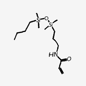 C=CC(=O)NCCC[Si](C)(C)O[Si](C)(C)CCCC